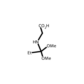 CCC(NCC(=O)O)(OC)OC